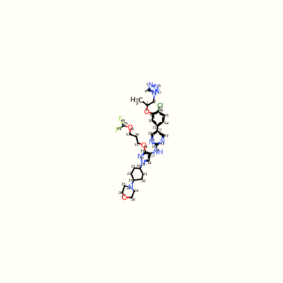 CC(Cn1cnnn1)Oc1cc(-c2cnc(Nc3cn(C4CCC(N5CCOCC5)CC4)nc3OCCCOC(F)F)nc2)ccc1Cl